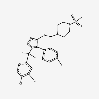 CC(C)(c1ccc(Cl)c(Cl)c1)c1cnc(SCC2CCN(S(C)(=O)=O)CC2)n1-c1ccc(F)cc1